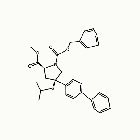 COC(=O)[C@@H]1C[C@@](SC(C)C)(c2ccc(-c3ccccc3)cc2)CN1C(=O)OCc1ccccc1